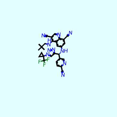 CC(C)(C)CNc1c(C#N)cnc2c(C#N)cc(N[C@@H](c3ccc(C#N)nc3)c3cn(C4(C(F)(F)F)CC4)nn3)cc12